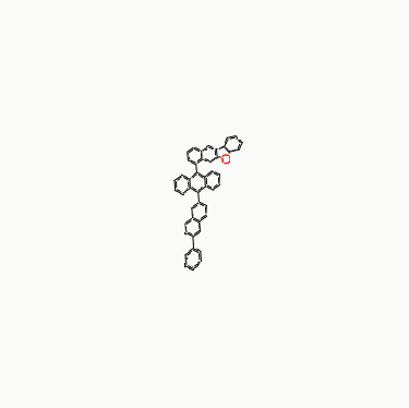 c1ccc(-c2ccc3cc(-c4c5ccccc5c(-c5cccc6cc7c(cc56)oc5ccccc57)c5ccccc45)ccc3c2)cc1